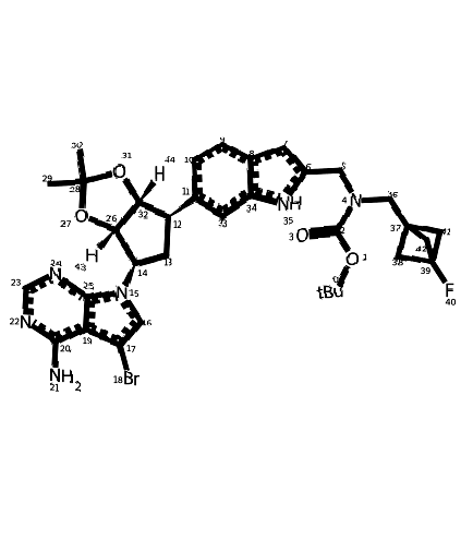 CC(C)(C)OC(=O)N(Cc1cc2ccc([C@H]3C[C@@H](n4cc(Br)c5c(N)ncnc54)[C@@H]4OC(C)(C)O[C@@H]43)cc2[nH]1)CC12CC(F)(C1)C2